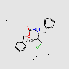 CC(=O)OC(CCl)C(Cc1ccccc1)NC(=O)OCc1ccccc1